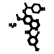 COc1cc2c(Nc3ccc(Br)cc3F)ncnc2cc1OC(C)C1CCNCC1.O